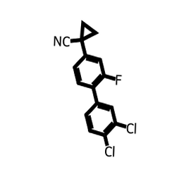 N#CC1(c2ccc(-c3ccc(Cl)c(Cl)c3)c(F)c2)CC1